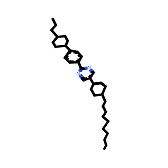 CCCCCCCCCCC1CCC(c2cnc(-c3ccc(C4CCC(CCC)CC4)cc3)nc2)CC1